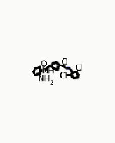 Nc1ccccc1NC(=O)c1ccc(C(=O)/C=C/c2c(Cl)cccc2Cl)cc1